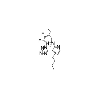 CCCCc1ccnc(N)c1-c1nnnn1-c1ccc(CC)c(F)c1F